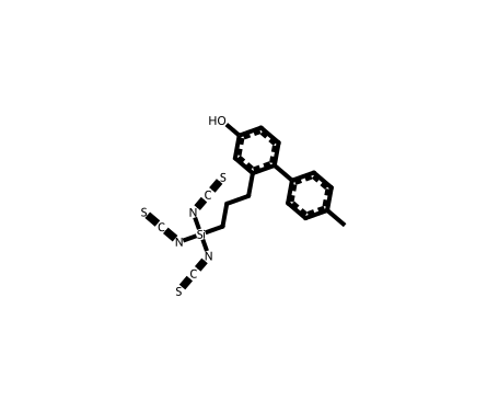 Cc1ccc(-c2ccc(O)cc2CCC[Si](N=C=S)(N=C=S)N=C=S)cc1